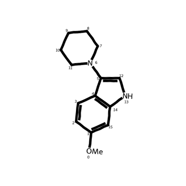 COc1ccc2c(N3CCCCC3)c[nH]c2c1